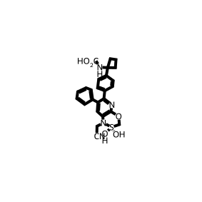 N#CCN1c2cc(-c3ccccc3)c(-c3ccc(C4(NC(=O)O)CCC4)cc3)nc2OCS1(O)O